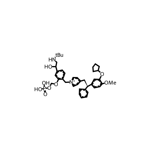 COc1ccc([C@H](Cc2cc[n+](Cc3ccc(C(O)CNC(C)(C)C)cc3OCOP(=O)(O)O)cc2)c2ccccc2)cc1OC1CCCC1